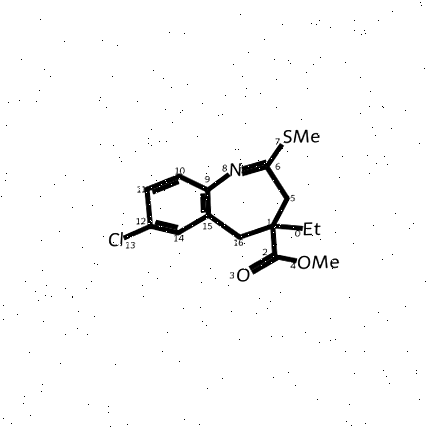 CCC1(C(=O)OC)CC(SC)=Nc2ccc(Cl)cc2C1